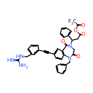 N=C(N)NCc1cccc(C#Cc2ccc3c(c2)C(=O)N(C(CC(=O)OC(=O)C(F)(F)F)c2ccccc2)CC(=O)N3Cc2ccccc2)c1